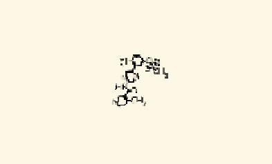 Cc1ccncc1C(=O)Nc1cnc(-c2cc(OS(C)(=O)=O)ccc2Cl)cn1